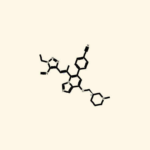 C=Nc1c(/C=C(\C)c2c(-c3ccc(C#N)cc3)cc(OC[C@@H]3CCCN(C)C3)c3cncn23)nnn1CC